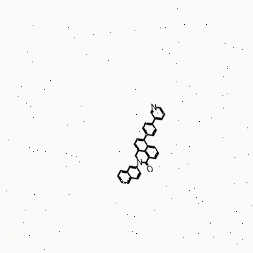 O=C1c2cccc3c(-c4ccc(-c5cccnc5)cc4)ccc(c23)CN1c1ccc2ccccc2c1